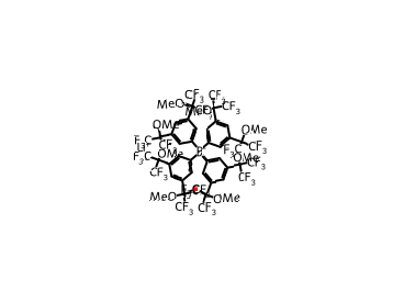 COC(c1cc([B-](c2cc(C(OC)(C(F)(F)F)C(F)(F)F)cc(C(OC)(C(F)(F)F)C(F)(F)F)c2)(c2cc(C(OC)(C(F)(F)F)C(F)(F)F)cc(C(OC)(C(F)(F)F)C(F)(F)F)c2)c2cc(C(OC)(C(F)(F)F)C(F)(F)F)cc(C(OC)(C(F)(F)F)C(F)(F)F)c2)cc(C(OC)(C(F)(F)F)C(F)(F)F)c1)(C(F)(F)F)C(F)(F)F.[Li+]